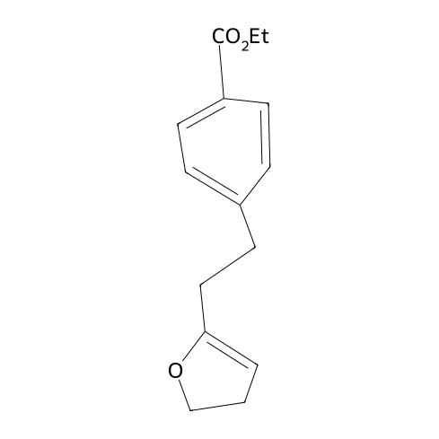 CCOC(=O)c1ccc(CCC2=CCCO2)cc1